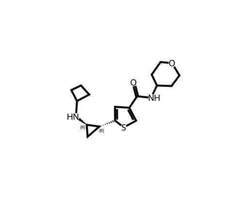 O=C(NC1CCOCC1)c1csc([C@@H]2C[C@H]2NC2CCC2)c1